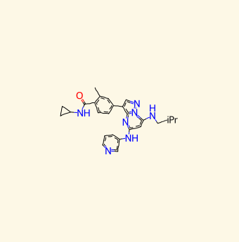 Cc1cc(-c2cnn3c(NCC(C)C)cc(Nc4cccnc4)nc23)ccc1C(=O)NC1CC1